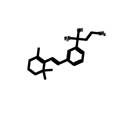 CC1=C(C=Cc2cccc(C(O)(CCN)C(F)(F)F)c2)C(C)(C)CCC1